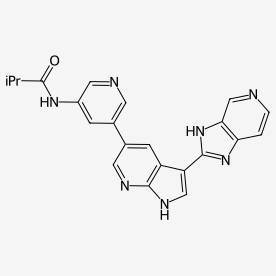 CC(C)C(=O)Nc1cncc(-c2cnc3[nH]cc(-c4nc5ccncc5[nH]4)c3c2)c1